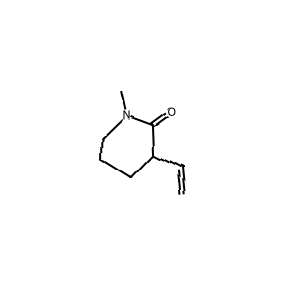 C=CC1CCCN(C)C1=O